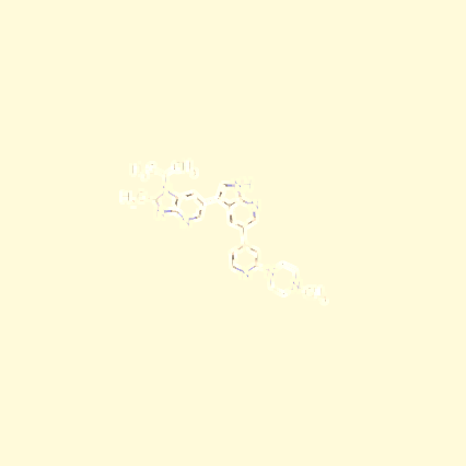 Cc1nc2ncc(-c3c[nH]c4ncc(-c5ccnc(N6CCN(C)CC6)c5)cc34)cc2n1C(C)C